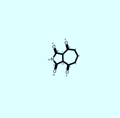 O=C1CCCC(=O)C2C(=O)[N]C(=O)C12